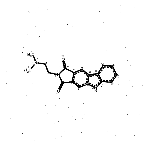 CN(C)CCN1C(=O)c2cc3[nH]c4ccccc4c3cc2C1=O